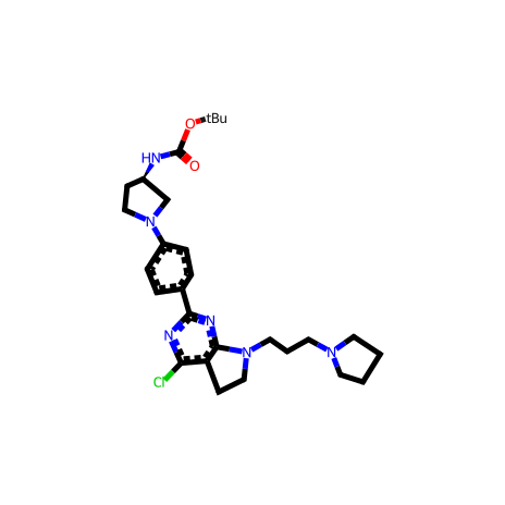 CC(C)(C)OC(=O)N[C@@H]1CCN(c2ccc(-c3nc(Cl)c4c(n3)N(CCCN3CCCC3)CC4)cc2)C1